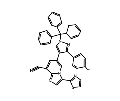 N#Cc1cc(-c2cn(C(c3ccccc3)(c3ccccc3)C3C=CC=CC3)nc2-c2ccc(F)cc2)cn2c(-c3nccs3)cnc12